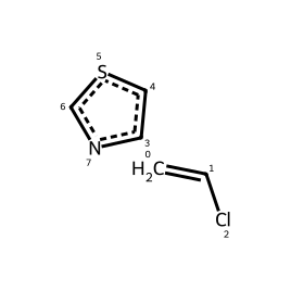 C=CCl.c1cscn1